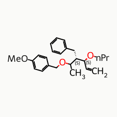 C=C[C@H](OCCC)[C@@H](Cc1ccccc1)C(C)OCc1ccc(OC)cc1